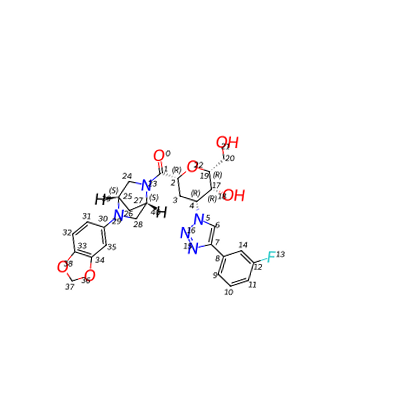 O=C([C@H]1C[C@@H](n2cc(-c3cccc(F)c3)nn2)[C@@H](O)[C@@H](CO)O1)N1C[C@@H]2C[C@H]1CN2c1ccc2c(c1)OCO2